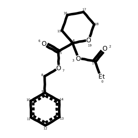 CCC(=O)OC1(C(=O)OCc2ccccc2)CCCCO1